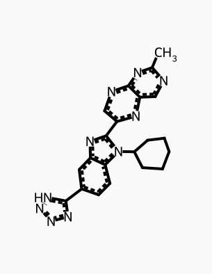 Cc1ncc2nc(-c3nc4cc(-c5nnn[nH]5)ccc4n3C3CCCCC3)cnc2n1